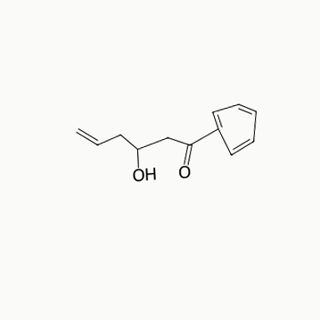 C=CCC(O)CC(=O)c1ccccc1